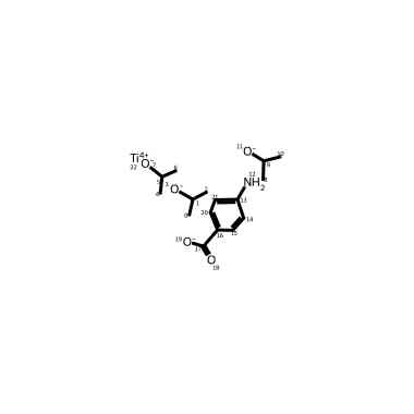 CC(C)[O-].CC(C)[O-].CC(C)[O-].Nc1ccc(C(=O)[O-])cc1.[Ti+4]